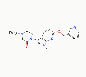 CCOC(=O)N1CCN(c2cn(C)c3nc(OCc4cccnc4)ccc23)C(=O)C1